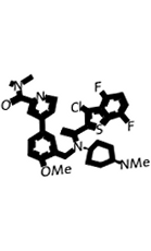 C=C(c1sc2c(F)ccc(F)c2c1Cl)N(Cc1cc(-c2ccnc(C(=O)N(C)C)c2)ccc1OC)[C@H]1CC[C@H](NC)CC1